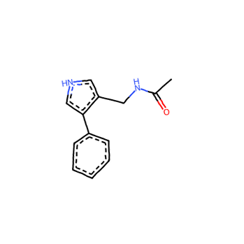 CC(=O)NCc1c[nH]cc1-c1ccccc1